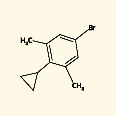 Cc1cc(Br)cc(C)c1C1CC1